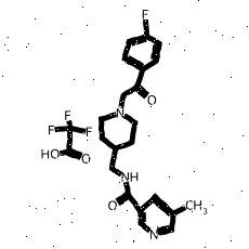 Cc1cncc(C(=O)NCC2CCN(CC(=O)c3ccc(F)cc3)CC2)c1.O=C(O)C(F)(F)F